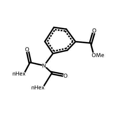 CCCCCCC(=O)N(C(=O)CCCCCC)c1cccc(C(=O)OC)c1